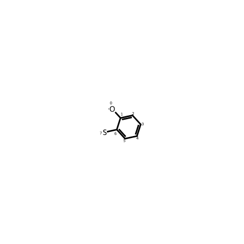 [O]c1ccccc1[S]